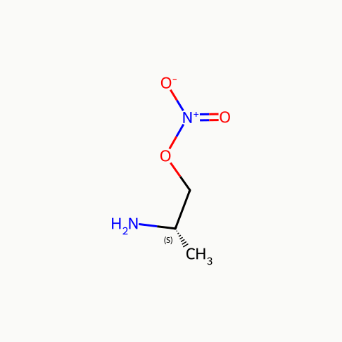 C[C@H](N)CO[N+](=O)[O-]